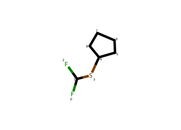 FC(F)S[C]1CCCC1